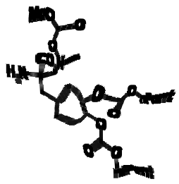 CCCCCOC(=O)Oc1ccc(CC(N)(C[C@H](C)OC(=O)OC)C(=O)O)cc1OC(=O)OCCCCC